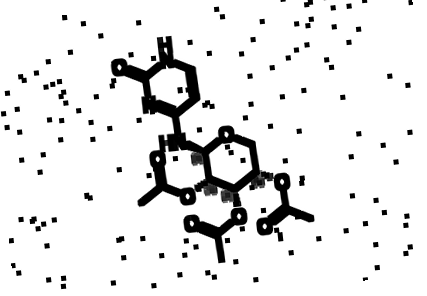 CC(=O)O[C@@H]1[C@H](OC(C)=O)[C@@H](Nc2cc[nH]c(=O)n2)OC[C@@H]1OC(C)=O